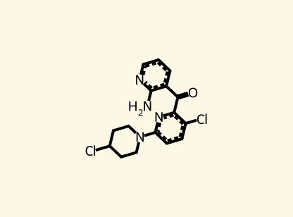 Nc1ncccc1C(=O)c1nc(N2CCC(Cl)CC2)ccc1Cl